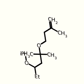 C=C(C)CCOC(C)(C)CC(CC)OC(C)C